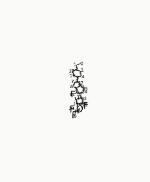 CCc1ccc(-c2ccc3c(F)c(-c4ccc(OC(F)F)c(F)c4)ccc3c2)cc1